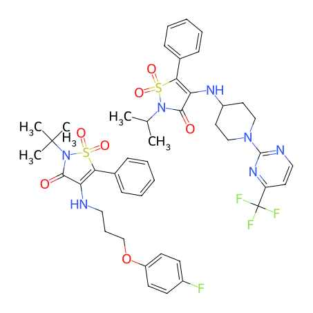 CC(C)(C)N1C(=O)C(NCCCOc2ccc(F)cc2)=C(c2ccccc2)S1(=O)=O.CC(C)N1C(=O)C(NC2CCN(c3nccc(C(F)(F)F)n3)CC2)=C(c2ccccc2)S1(=O)=O